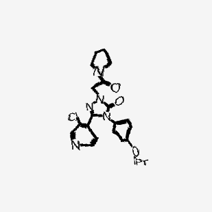 CC(C)Oc1ccc(-n2c(-c3ccncc3Cl)nn(CC(=O)N3CCCC3)c2=O)cc1